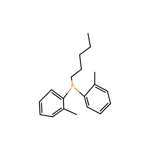 CCCCCP(c1ccccc1C)c1ccccc1C